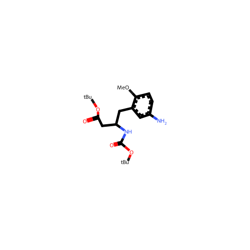 COc1ccc(N)cc1CC(CC(=O)OC(C)(C)C)NC(=O)OC(C)(C)C